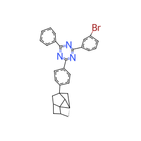 Brc1cccc(-c2nc(-c3ccccc3)nc(-c3ccc(C45CC6CC7C[C@@]8(C4)C5C678)cc3)n2)c1